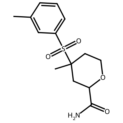 Cc1cccc(S(=O)(=O)C2(C)CCOC(C(N)=O)C2)c1